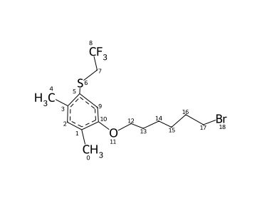 Cc1cc(C)c(SCC(F)(F)F)cc1OCCCCCCBr